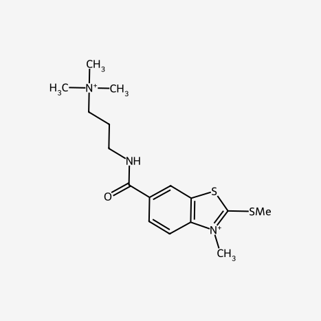 CSc1sc2cc(C(=O)NCCC[N+](C)(C)C)ccc2[n+]1C